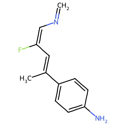 C=N/C=C(F)\C=C(/C)c1ccc(N)cc1